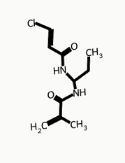 C=C(C)C(=O)NC(CC)NC(=O)C=CCl